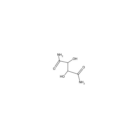 NC(=O)C(O)C(O)C(N)=O